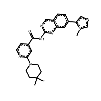 Cn1cncc1-c1ccc2cnc(NC(=O)c3ccnc(N4CCC(F)(F)CC4)c3)nc2c1